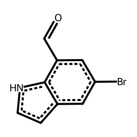 O=Cc1cc(Br)cc2cc[nH]c12